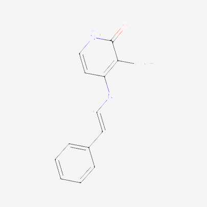 O=C(O)c1c(NC=Cc2ccccc2)cc[nH]c1=O